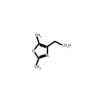 Cc1nc(CC(=O)O)c(C)o1